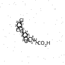 O=C(O)CCN1CCC2(CC1)OCc1cc(OCc3cc(Cl)ccc3Cl)ccc12